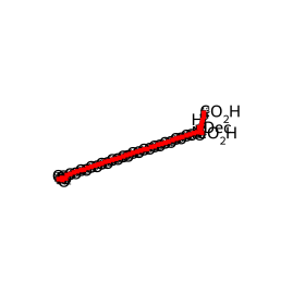 CCCCCCCCCCC[C@](CCCCCCCCCCC(=O)O)(C(=O)O)C(=O)NCCOCCOCCOCCOCCOCCOCCOCCOCCOCCOCCOCCOCCOCCOCCOCCOCCOCCOCCOCCOCCOCCOCCOCCOCCC(=O)ON1C(=O)CCC1=O